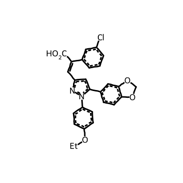 CCOc1ccc(-n2nc(C=C(C(=O)O)c3cccc(Cl)c3)cc2-c2ccc3c(c2)OCO3)cc1